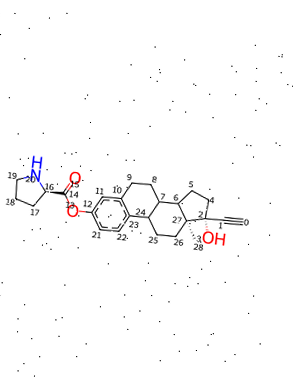 C#C[C@]1(O)CCC2C3CCc4cc(OC(=O)[C@H]5CCCN5)ccc4C3CC[C@@]21C